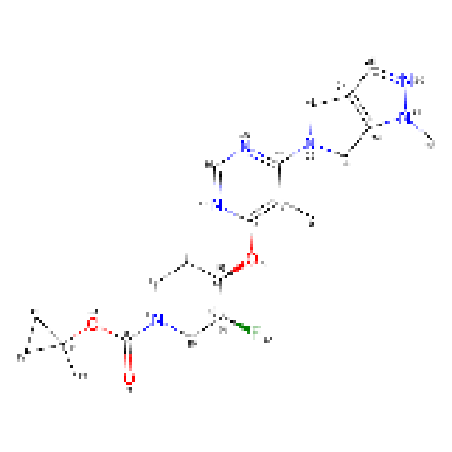 Cc1c(O[C@@H]2CCN(C(=O)OC3(C)CC3)C[C@@H]2F)ncnc1N1Cc2cnn(C)c2C1